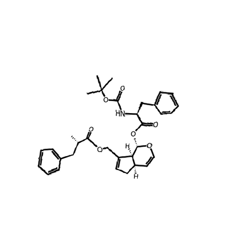 C[C@@H](Cc1ccccc1)C(=O)OCC1=CC[C@@H]2C=CO[C@@H](OC(=O)[C@H](Cc3ccccc3)NC(=O)OC(C)(C)C)[C@H]12